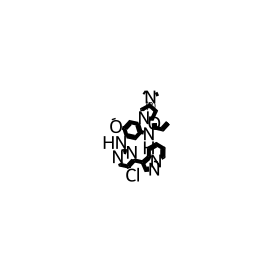 C=CC(=O)Nc1cc(Nc2ncc(Cl)c(-c3cnn4ccccc34)n2)c(OC)cc1N1CC[C@@H](N(C)C)C1